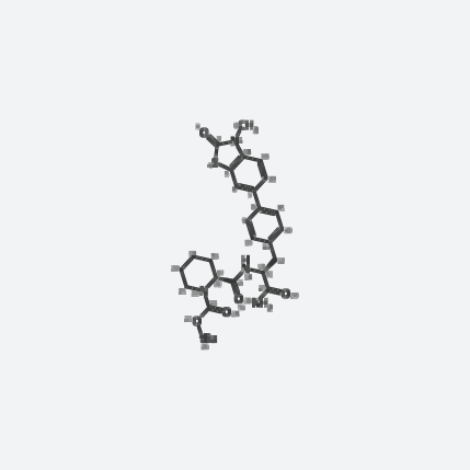 Cn1c(=O)sc2cc(-c3ccc(C[C@H](NC(=O)[C@@H]4CCCCN4C(=O)OC(C)(C)C)C(N)=O)cc3)ccc21